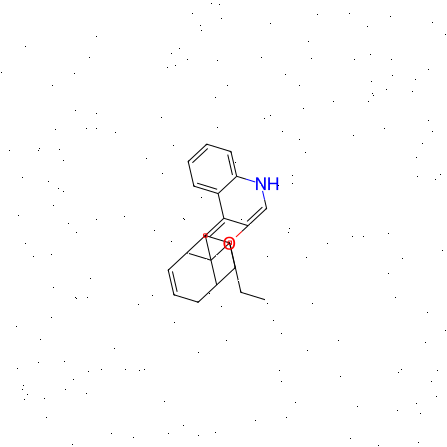 CCC1OC2=CNc3ccccc3C2=CC12C1C=CCC2CCC1